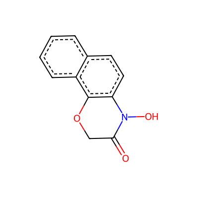 O=C1COc2c(ccc3ccccc23)N1O